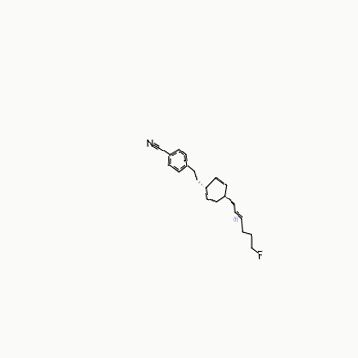 N#Cc1ccc(CC[C@H]2CC[C@H](C/C=C/CCCF)CC2)cc1